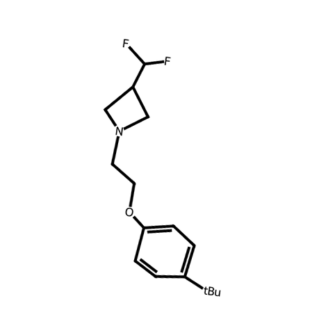 CC(C)(C)c1ccc(OCCN2CC(C(F)F)C2)cc1